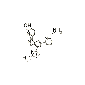 C[C@H]1COC(c2cc(-c3cccc(CCN)n3)cc3c2cnn3-c2cccc(CO)n2)=N1